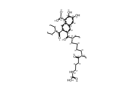 CCN(CC)C(=O)c1cc2c([N+](=O)[O-])c(O)c(O)cc2cc1C(=O)N(CC)CCCCN(C)C(=O)CCCNC(=O)O